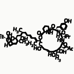 CC[C@H]1C[C@@H]2CC3=C[C@@H](C)[C@H](C[C@H](O)[C@@H](C)CC/C=C/C=C(\C)[C@@H]4CC(O)C/C=C/[C@H](O)[C@H](C)[C@@H](O)[C@@H](CCC(C)=O)C(=O)N[C@@H](C(C)C)C(=O)N[C@@H](Cc5cccc(O)c5)C(=O)N5CCCC(N5)C(=O)O4)O[C@@]32NC1=O